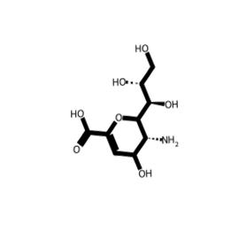 N[C@@H]1C(O)C=C(C(=O)O)OC1[C@H](O)[C@H](O)CO